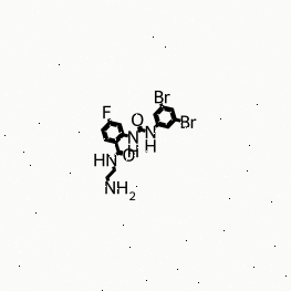 NCCNC(=O)c1ccc(F)cc1NC(=O)Nc1cc(Br)cc(Br)c1